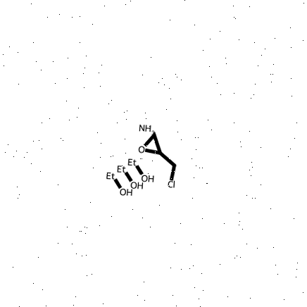 CCO.CCO.CCO.ClCC1CO1.N